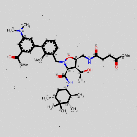 CNC(=O)c1cc(-c2cccc(CN3O[C@@H](CNC(=O)CCC(=O)OC)[C@@H]([C@H](C)O)[C@H]3C(=O)N[C@H]3C[C@@H](C)C(C)(C)[C@@H](C)[C@@H]3C)c2OC)cc(N(C)C)c1